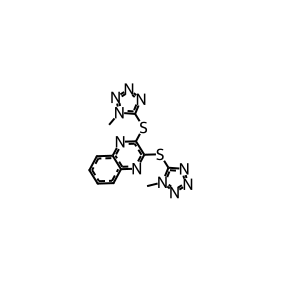 Cn1nnnc1Sc1nc2ccccc2nc1Sc1nnnn1C